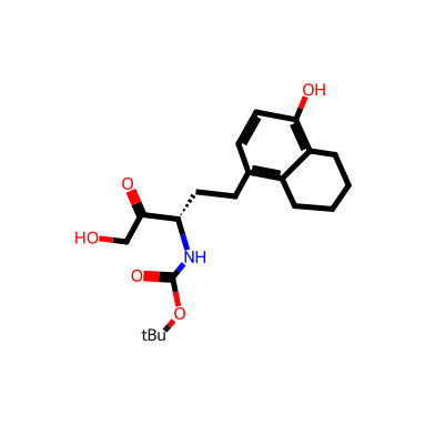 CC(C)(C)OC(=O)N[C@@H](CCc1ccc(O)c2c1CCCC2)C(=O)CO